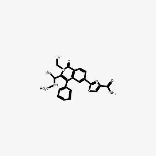 CC(C)Cn1c(C(NC(=O)O)C(C)(C)C)c(-c2ccccc2)c2cc(-c3nc(C(N)=O)cs3)ccc2c1=O